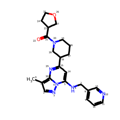 Cc1cnn2c(NCc3cccnc3)cc(C3CCCN(C(=O)C4CCOC4)C3)nc12